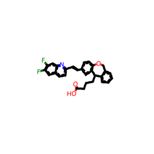 O=C(O)CCCC1c2ccccc2COc2ccc(C=Cc3ccc4cc(F)c(F)cc4n3)cc21